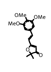 COc1cc(C=CC2=CC(=O)C(C)(C)O2)cc(OC)c1OC